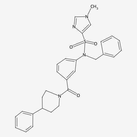 Cn1cnc(S(=O)(=O)N(Cc2ccccc2)c2cccc(C(=O)N3CCC(c4ccccc4)CC3)c2)c1